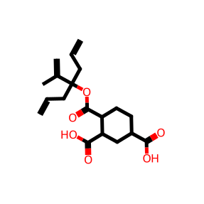 C=CCC(CC=C)(OC(=O)C1CCC(C(=O)O)CC1C(=O)O)C(=C)C